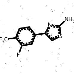 Nc1nc(-c2ccc(C(F)(F)F)c(F)c2)cs1